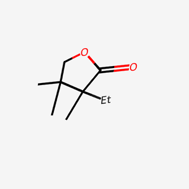 CCC1(C)C(=O)OCC1(C)C